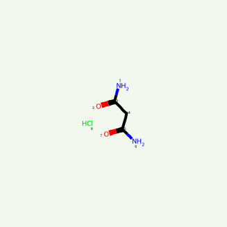 Cl.NC(=O)CC(N)=O